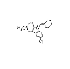 CN1CCc2c(c3cc(Cl)ccc3n2C=C2CCCCC2)C1